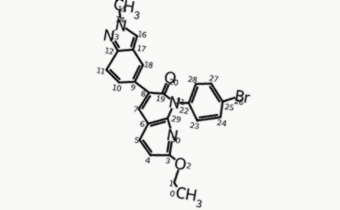 CCOc1ccc2cc(-c3ccc4nn(C)cc4c3)c(=O)n(-c3ccc(Br)cc3)c2n1